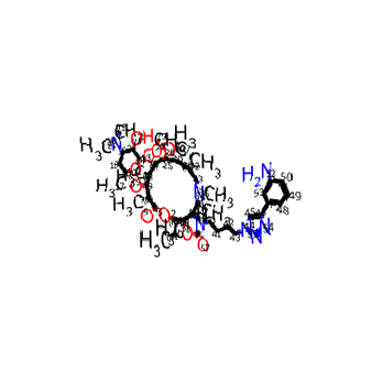 CC[C@H]1OC(=O)[C@H](C)C(=O)[C@H](C)[C@@H](O[C@@H]2O[C@H](C)CC(N(C)C)C2O)C(OC)(OC)C[C@@H](C)CN(C)[C@H](C)[C@H]2N(CCCCn3cc(-c4cccc(N)c4)nn3)C(=O)O[C@]12C